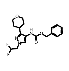 O=C(Nc1cn(CC(F)F)nc1C1CCOCC1)OCc1ccccc1